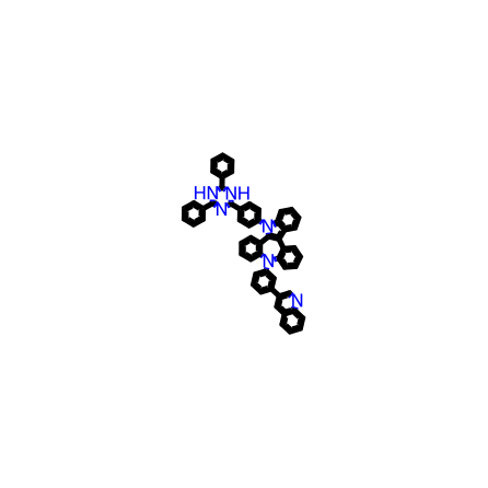 c1ccc(C2=NC(c3ccc(-n4c5c(c6ccccc64)-c4ccccc4N(c4cccc(-c6cnc7ccccc7c6)c4)c4ccccc4-5)cc3)NC(c3ccccc3)N2)cc1